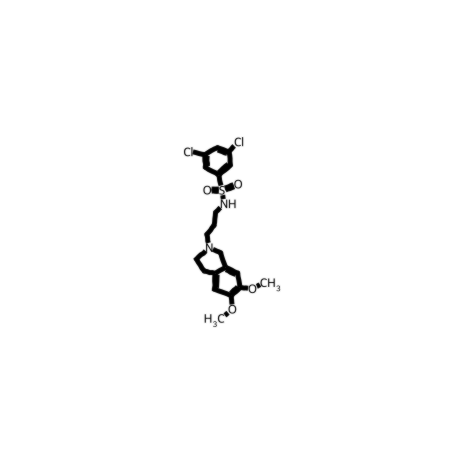 COc1cc2c(cc1OC)CN(CCCNS(=O)(=O)c1cc(Cl)cc(Cl)c1)CC2